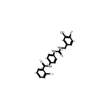 O=C(Nc1ccc(NC(=S)NCc2ccc(F)c(Cl)c2)cc1)c1ccccc1F